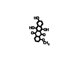 COc1cccc2c1C(=O)c1c(c(O)c3cc(O)ccc3c1O)C2=O